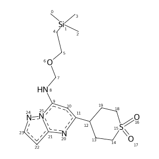 C[Si](C)(C)CCOCNc1cc(C2CCS(=O)(=O)CC2)nc2ccnn12